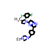 CCN1CCN(Cc2ccc(-c3cnn4ccc(N5CC[C@@H](C)[C@@H]5c5cc(F)ccc5F)nc34)cc2)CC1